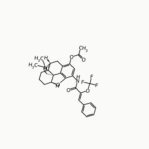 CC(=O)Oc1cc(NC(=O)C(=Cc2ccccc2)OC(F)(F)F)c2c3c1C[C@@H]1[C@@H]4CCC[C@H](O2)[C@]34CC[N+]1(C)C